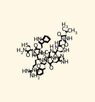 CC(C)[C@@H]1NC(=O)N(CC(=O)N[C@@H](CS)C(=O)N[C@H](C)C(=O)N[C@@H](Cc2cnc[nH]2)C(=O)N[C@H](Cc2ccccc2)C(=O)N[C@@H](CCCNC(=N)N)C(=O)N[C@@H](Cc2c[nH]c3ccccc23)C(=O)N[C@@H](CS)C(N)=O)C1=O